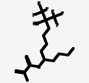 C=C(C)C(=O)OC(CCCC)CCCCC(O)(C(F)(F)F)C(F)(F)F